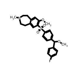 COc1cc2c(cc1S(=O)(=O)c1ccc(C(OC)c3ccc(F)cc3)cc1)CCN(C)CC2